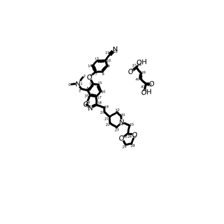 CN(C)Cc1c(Oc2ccc(C#N)cc2)ccc2c(CCC3CCN(CC4OCCO4)CC3)noc12.O=C(O)/C=C/C(=O)O